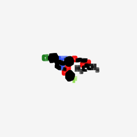 CC1(C)OC[C@H](CCOc2ccc(C3c4[nH]c5ccc(Cl)cc5c4CCN3C(=O)Oc3ccc(F)cc3)cc2)O1